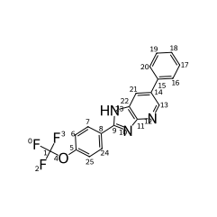 FC(F)(F)Oc1ccc(-c2nc3ncc(-c4ccccc4)cc3[nH]2)cc1